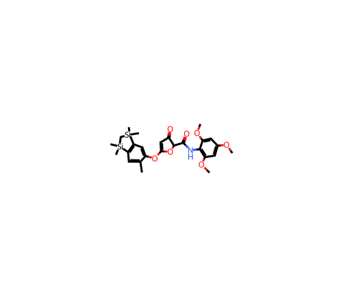 COc1cc(OC)c(NC(=O)C2OC(Oc3cc4c(cc3C)[Si](C)(C)C[Si]4(C)C)=CC2=O)c(OC)c1